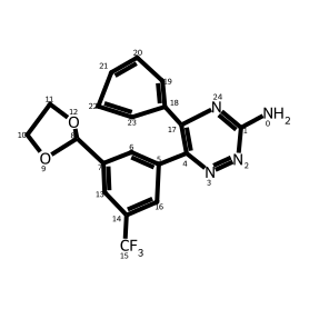 Nc1nnc(-c2cc(C3OCCO3)cc(C(F)(F)F)c2)c(-c2ccccc2)n1